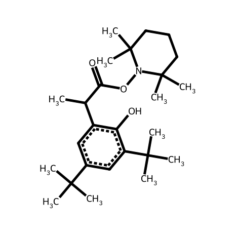 CC(C(=O)ON1C(C)(C)CCCC1(C)C)c1cc(C(C)(C)C)cc(C(C)(C)C)c1O